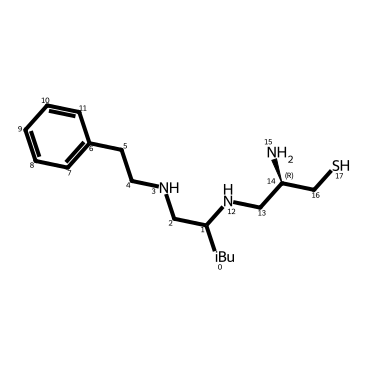 CCC(C)C(CNCCc1ccccc1)NC[C@@H](N)CS